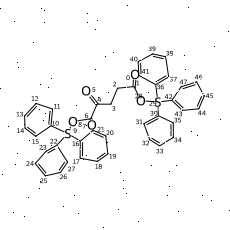 O=C(CCC(=O)C(=O)OS(c1ccccc1)(c1ccccc1)c1ccccc1)OS(c1ccccc1)(c1ccccc1)c1ccccc1